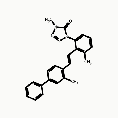 Cc1cc(-c2ccccc2)ccc1C=Cc1c(C)cccc1-n1nnn(C)c1=O